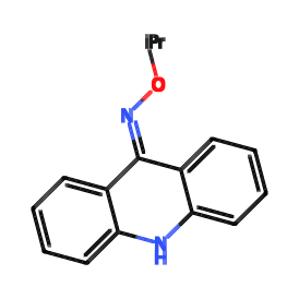 CC(C)ON=c1c2ccccc2[nH]c2ccccc12